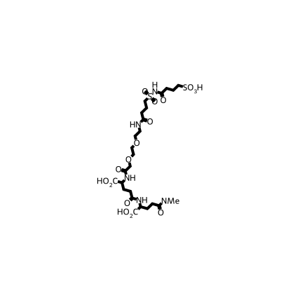 CNC(=O)CCC(NC(=O)CCC(NC(=O)COCCOCCNC(=O)CCCS(=O)(=O)NC(=O)CCCS(=O)(=O)O)C(=O)O)C(=O)O